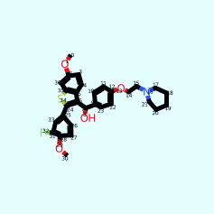 COc1ccc2c(C(O)c3ccc(OCCN4CCCCC4)cc3)c(-c3ccc(OC)c(F)c3)sc2c1